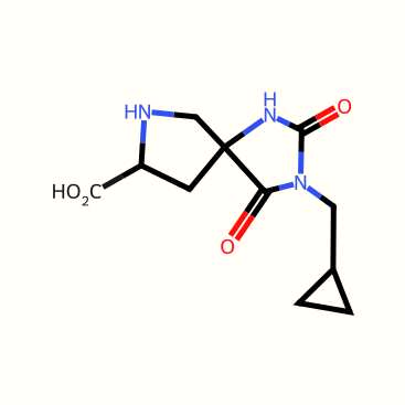 O=C(O)C1CC2(CN1)NC(=O)N(CC1CC1)C2=O